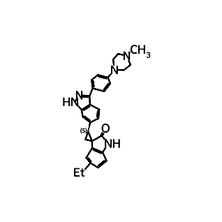 CCc1ccc2c(c1)C1(C[C@H]1c1ccc3c(-c4ccc(N5CCN(C)CC5)cc4)n[nH]c3c1)C(=O)N2